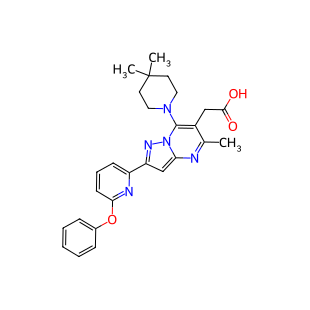 Cc1nc2cc(-c3cccc(Oc4ccccc4)n3)nn2c(N2CCC(C)(C)CC2)c1CC(=O)O